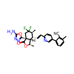 Cc1cccc(-c2ccc(/C=C/[C@@H]3[C@@H]4[C@@H](C)OC(=O)[C@]4(c4nnc(N)o4)CC(F)(F)[C@H]3C)nc2)c1C#N